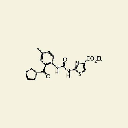 CCOC(=O)c1csc(NC(=O)Nc2ccc(C)cc2C(=O)C2CCCC2)n1